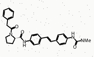 CNC(=O)Nc1ccc(/C=C/c2ccc(NC(=O)[C@@H]3CCCN3C(=O)Cc3ccccc3)cc2)cc1